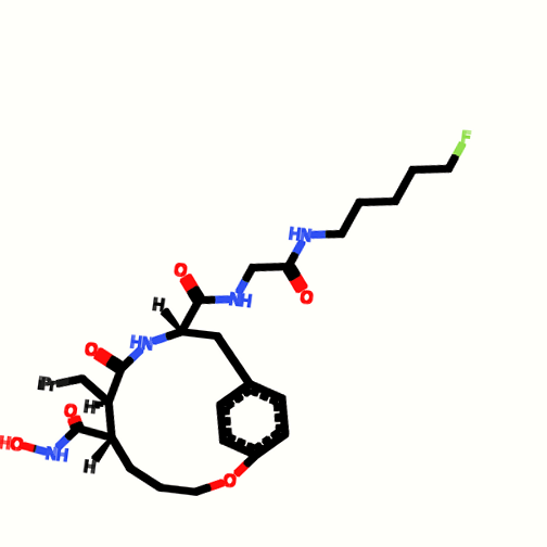 CC(C)C[C@H]1C(=O)N[C@H](C(=O)NCC(=O)NCCCCCF)Cc2ccc(cc2)OCCC[C@@H]1C(=O)NO